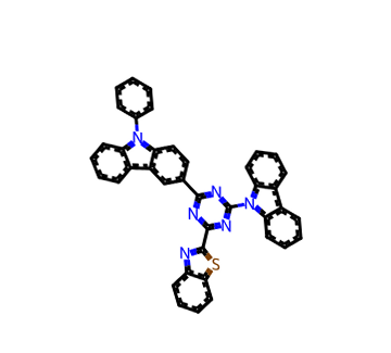 c1ccc(-n2c3ccccc3c3cc(-c4nc(-c5nc6ccccc6s5)nc(-n5c6ccccc6c6ccccc65)n4)ccc32)cc1